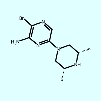 C[C@@H]1CN(c2cnc(Br)c(N)n2)C[C@H](C)N1